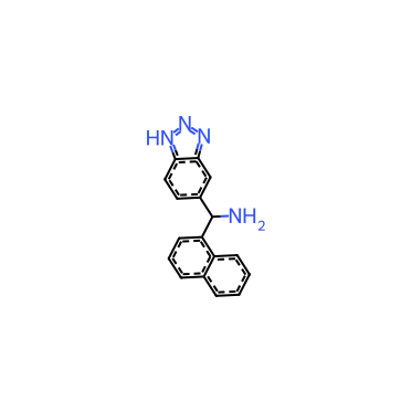 NC(c1ccc2[nH]nnc2c1)c1cccc2ccccc12